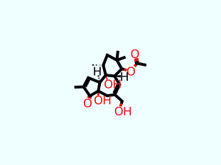 CC(=O)OC1[C@@H]2C=C(CO)C[C@]3(O)C(=O)C(C)=C[C@H]3[C@@]2(O)[C@H](C)CC1(C)C